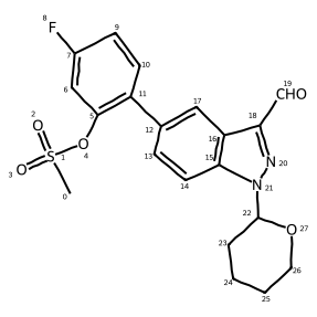 CS(=O)(=O)Oc1cc(F)ccc1-c1ccc2c(c1)c(C=O)nn2C1CCCCO1